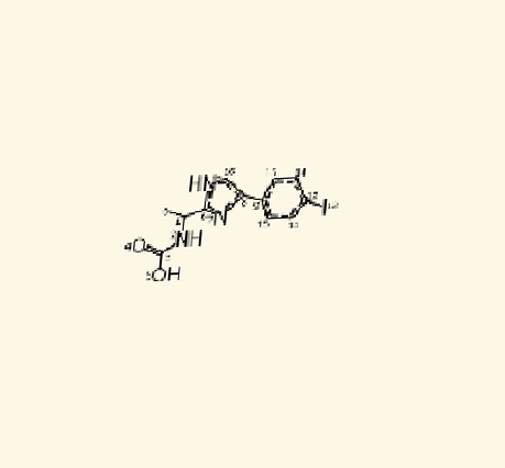 CC(NC(=O)O)c1nc(-c2ccc(I)cc2)c[nH]1